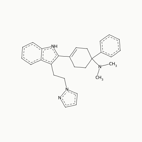 CN(C)C1(c2ccccc2)CC=C(c2[nH]c3ccccc3c2CCn2cccn2)CC1